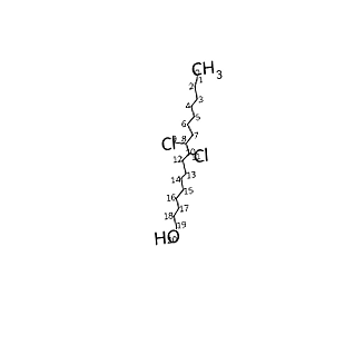 CCCCCCCCC(Cl)C(Cl)CCCCCCCCO